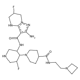 Nc1nn2c(c1C(=O)NC1CNCC(F)C1N1CCC(C(=O)NCCN3CCC3)CC1)NCC(F)C2